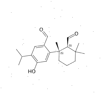 CC(C)c1cc(C=O)c([C@@]2(C)CCCC(C)(C)[C@@H]2C=O)cc1O